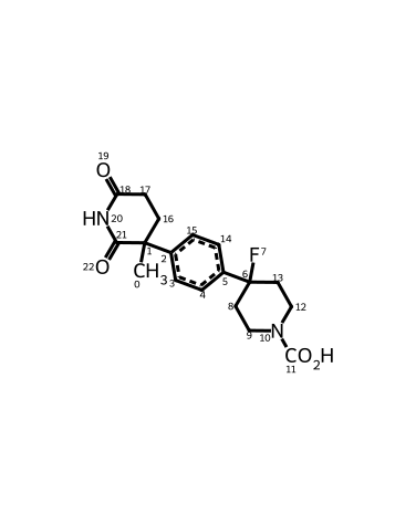 CC1(c2ccc(C3(F)CCN(C(=O)O)CC3)cc2)CCC(=O)NC1=O